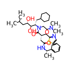 CC(C)C[C@H](O)[C@H](O)[C@H](CC1CCCCC1)N(CC(=O)N(C)C)C(=O)[C@@H](CC(=O)N[C@@H](C)c1ccccc1)Cc1nccs1